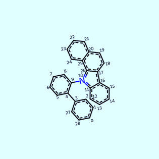 c1ccc(-c2ccccc2-n2c3ccccc3c3ccc4ccccc4c32)cc1